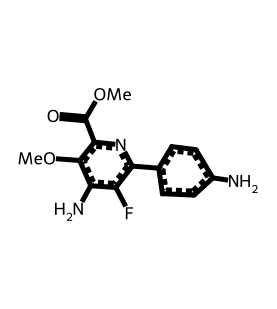 COC(=O)c1nc(-c2ccc(N)cc2)c(F)c(N)c1OC